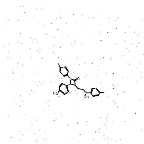 Cc1ccc([C@@H](O)CCC2C(=O)N(c3ccc(I)cc3)[C@@H]2c2ccc(O)cc2)cc1